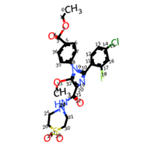 CCOC(=O)c1ccc(-n2c(-c3ccc(Cl)cc3F)nc(C(=O)NN3CCS(=O)(=O)CC3)c2OC)cc1